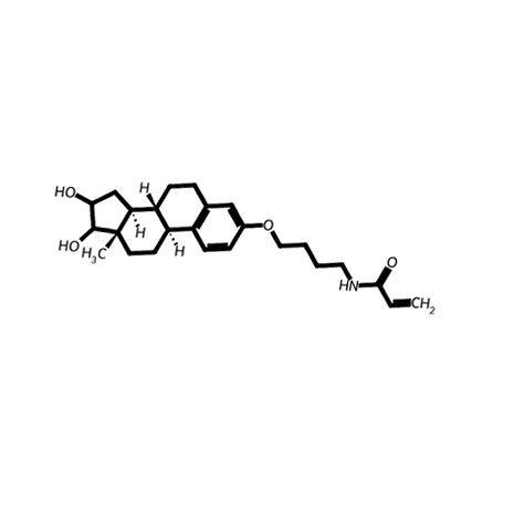 C=CC(=O)NCCCCOc1ccc2c(c1)CC[C@@H]1[C@@H]2CC[C@]2(C)C(O)C(O)C[C@@H]12